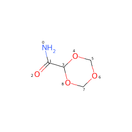 NC(=O)C1OCOCO1